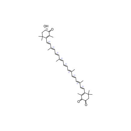 CC1=C(/C=C/C(C)=C/C=C/C(C)=C/C=C/C=C(C)/C=C/C=C(C)/C=C/C2=C(C)C(=O)[C@@H](O)CC2(C)C)C(C)(C)CC(=O)C1=O